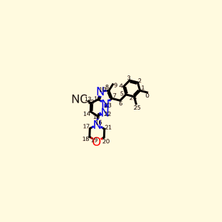 Cc1cccc(Cc2c(C)nc3c(C#N)cc(N4CCOCC4)nn23)c1C